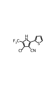 N#Cc1c(-c2cccs2)[nH]c(C(F)(F)F)c1Cl